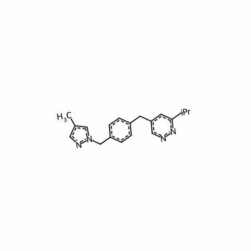 Cc1cnn(Cc2ccc(Cc3cnnc(C(C)C)c3)cc2)c1